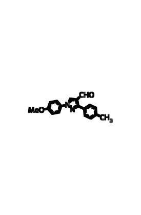 COc1ccc(-n2cc(C=O)c(-c3ccc(C)cc3)n2)cc1